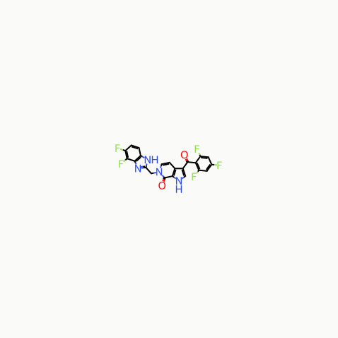 O=C(c1c(F)cc(F)cc1F)c1c[nH]c2c(=O)n(Cc3nc4c(F)c(F)ccc4[nH]3)ccc12